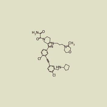 C[C@H]1COCCN1CCCn1nc(-c2ccc(Cl)c(C#Cc3ccc(Cl)c(CNC4CCCC4)c3)c2)c2c1CCN(C(=O)C(N)=O)C2